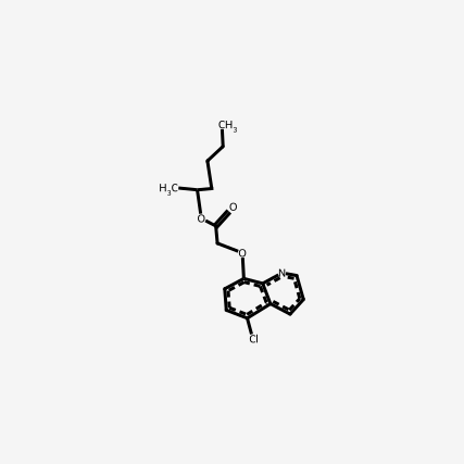 CCCCC(C)OC(=O)COc1ccc(Cl)c2cccnc12